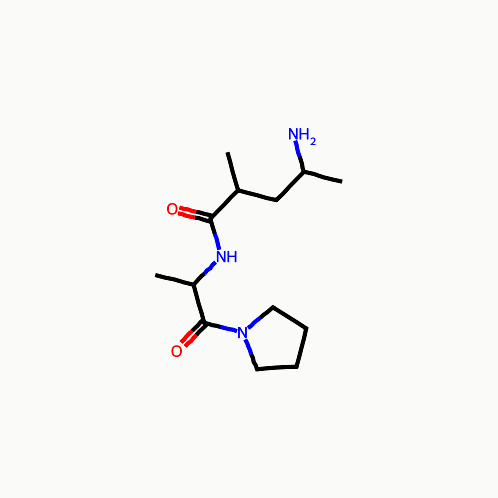 CC(N)CC(C)C(=O)NC(C)C(=O)N1CCCC1